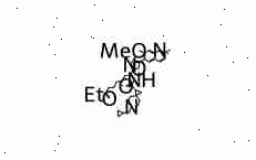 CCC(=O)CCCCC[C@H](NC(=O)[C@H]1CC12CCN(CC1CC1)CC2)c1ncc(-c2cc3ccc(C)nc3cc2OC)o1